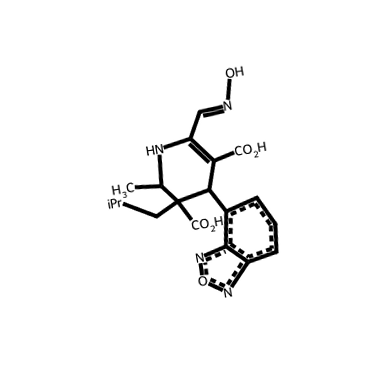 CC(C)CC1(C(=O)O)C(C)NC(C=NO)=C(C(=O)O)C1c1cccc2nonc12